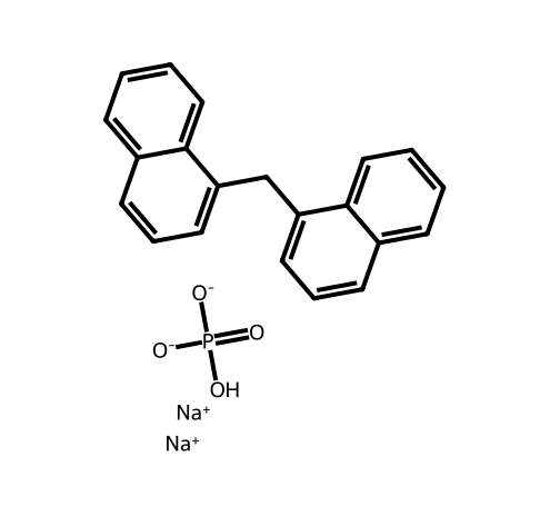 O=P([O-])([O-])O.[Na+].[Na+].c1ccc2c(Cc3cccc4ccccc34)cccc2c1